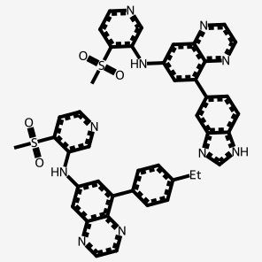 CCc1ccc(-c2cc(Nc3cnccc3S(C)(=O)=O)cc3nccnc23)cc1.CS(=O)(=O)c1ccncc1Nc1cc(-c2ccc3[nH]cnc3c2)c2nccnc2c1